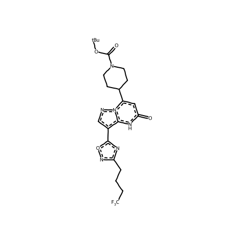 CC(C)(C)OC(=O)N1CCC(c2cc(=O)[nH]c3c(-c4nc(CCCC(F)(F)F)no4)cnn23)CC1